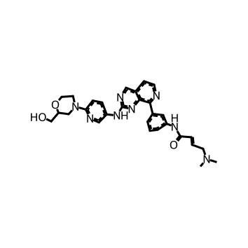 CN(C)CC=CC(=O)Nc1cccc(-c2nccc3cnc(Nc4ccc(N5CCOC(CO)C5)nc4)nc23)c1